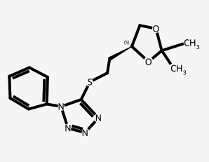 CC1(C)OC[C@H](CCSc2nnnn2-c2ccccc2)O1